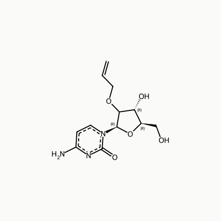 C=CCOC1[C@H](n2ccc(N)nc2=O)O[C@H](CO)[C@H]1O